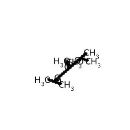 CCCCCC(CCCCC)CC(=O)OCCCCCCCCCC(CCCCCCCOC(=O)CC(CCCCC)CCCCC)OC(=O)CN(C)C